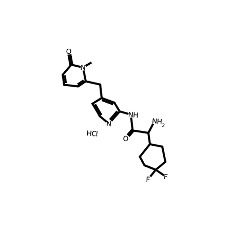 Cl.Cn1c(Cc2ccnc(NC(=O)C(N)C3CCC(F)(F)CC3)c2)cccc1=O